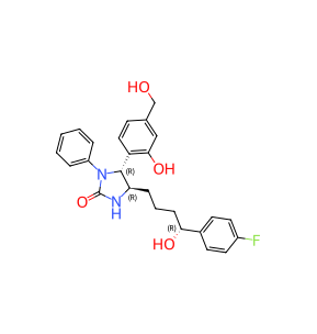 O=C1N[C@H](CCC[C@@H](O)c2ccc(F)cc2)[C@@H](c2ccc(CO)cc2O)N1c1ccccc1